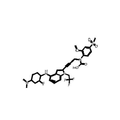 COc1cc(S(C)(=O)=O)ccc1N(CC#Cc1cc2c(NC3CCC(N(C)C)CC3F)cccc2n1CC(F)(F)F)C(=O)O